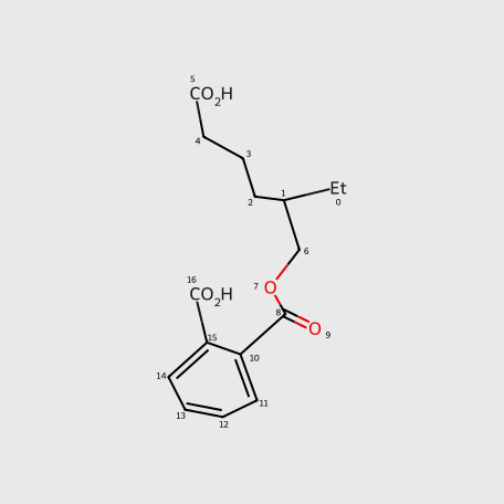 CCC(CCCC(=O)O)COC(=O)c1ccccc1C(=O)O